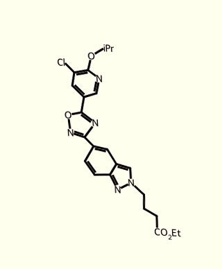 CCOC(=O)CCCn1cc2cc(-c3noc(-c4cnc(OC(C)C)c(Cl)c4)n3)ccc2n1